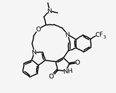 CN(C)CC1CCn2cc(c3ccc(C(F)(F)F)cc32)C2=C(C(=O)NC2=O)c2cn(c3ccccc23)CCO1